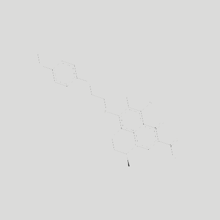 COc1ccc(OCCNc2c(F)c(N)c3c(=O)c(C(=O)O)cn4c3c2OC[C@@H]4C)cc1